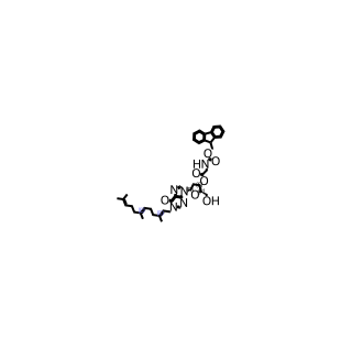 CC(C)=CCC/C(C)=C/CC/C(C)=C/Cn1cnc2c(ncn2[C@H]2C[C@H](OC(=O)CNC(=O)OCC3c4ccccc4-c4ccccc43)[C@@H](CO)O2)c1=O